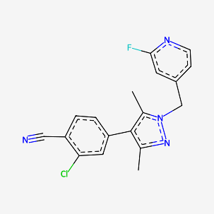 Cc1nn(Cc2ccnc(F)c2)c(C)c1-c1ccc(C#N)c(Cl)c1